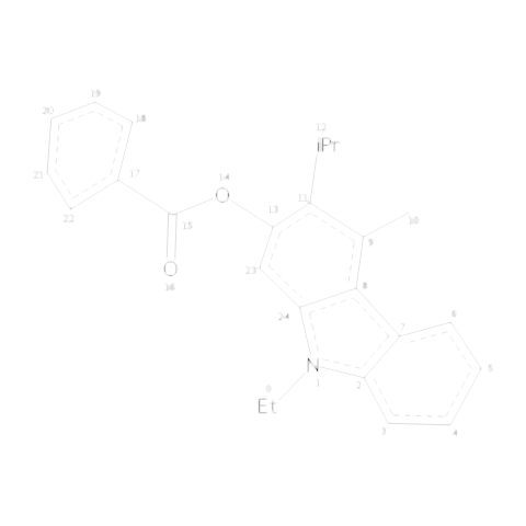 CCn1c2ccccc2c2c(C)c(C(C)C)c(OC(=O)c3ccccc3)cc21